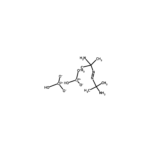 CC(C)(N)/N=N/C(C)(C)N.[O-][Cl+2]([O-])O.[O-][Cl+2]([O-])O